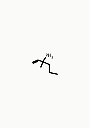 C=CC(F)(P)CCC